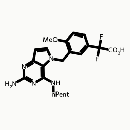 CCCCCNc1nc(N)nc2ccn(Cc3cc(C(F)(F)C(=O)O)ccc3OC)c12